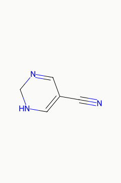 N#CC1=CNCN=C1